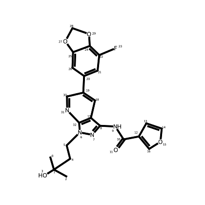 CC(C)(O)CCn1nc(NC(=O)c2ccoc2)c2cc(-c3cc(F)c4c(c3)OCO4)cnc21